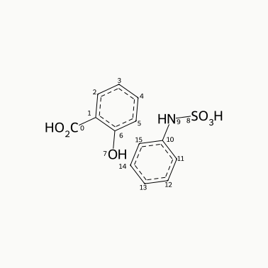 O=C(O)c1ccccc1O.O=S(=O)(O)Nc1ccccc1